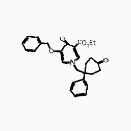 CCOC(=O)c1cn(CC2(c3ccccc3)CCC(=O)CC2)cc(OCc2ccccc2)c1=O